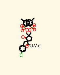 COC(=O)C1(Cc2ccc(Cl)cc2)CCC(COS(=O)(=O)c2ccc(C)cc2)(COS(=O)(=O)c2ccc(C)cc2)C1=O